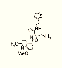 COc1ccc(-c2nc(C(=O)NCCc3cccs3)c(CN)o2)c2ccc(C(F)(F)F)nc12